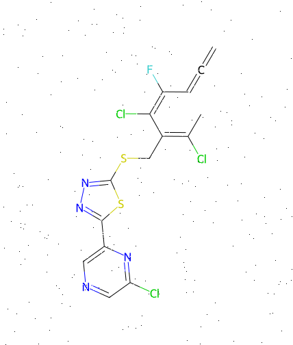 C=C=C/C(F)=C(Cl)\C(CSc1nnc(-c2cncc(Cl)n2)s1)=C(/C)Cl